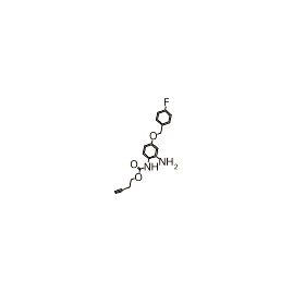 C#CCCOC(=O)Nc1ccc(OCc2ccc(F)cc2)cc1N